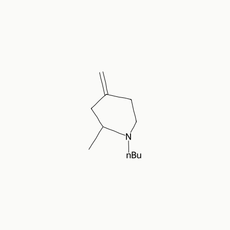 C=C1CCN(CCCC)C(C)C1